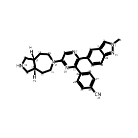 Cn1cc2cc(-c3ncc(N4CC[C@@H]5CNC[C@@H]5CC4)nc3-c3ccc(C#N)cc3)ccc2n1